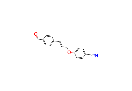 N#Cc1ccc(OCC=Cc2ccc(C=O)cc2)cc1